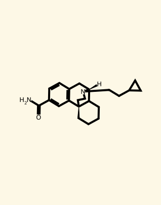 NC(=O)c1ccc2c(c1)[C@@]13CCCCC1[C@@H](C2)N(CCC1CC1)CC3